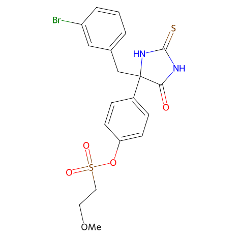 COCCS(=O)(=O)Oc1ccc(C2(Cc3cccc(Br)c3)NC(=S)NC2=O)cc1